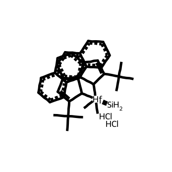 CC(C)(C)C1=Cc2ccc3ccccc3c2[CH]1[Hf]([CH3])([CH3])(=[SiH2])[CH]1C(C(C)(C)C)=Cc2ccc3ccccc3c21.Cl.Cl